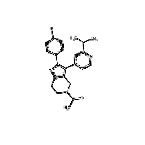 CC(=O)N1CCn2nc(-c3ccc(F)cc3)c(-c3ccnc(C(C)C)c3)c2C1